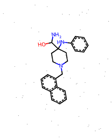 NC(O)C1(Nc2ccccc2)CCN(Cc2cccc3ccccc23)CC1